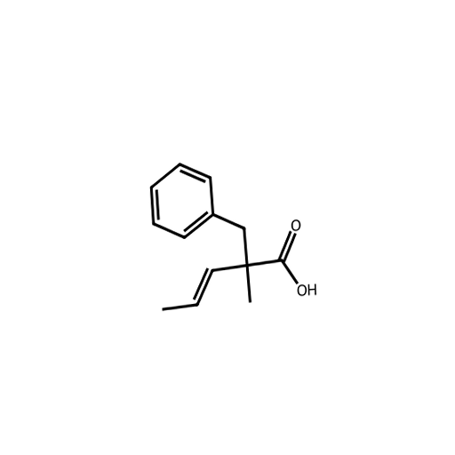 CC=CC(C)(Cc1ccccc1)C(=O)O